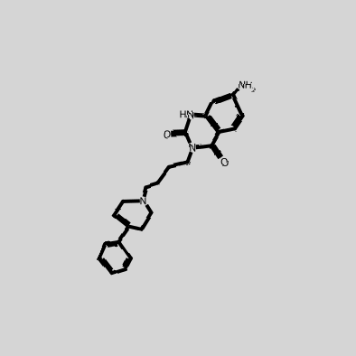 Nc1ccc2c(=O)n(CCCCN3CC=C(c4ccccc4)CC3)c(=O)[nH]c2c1